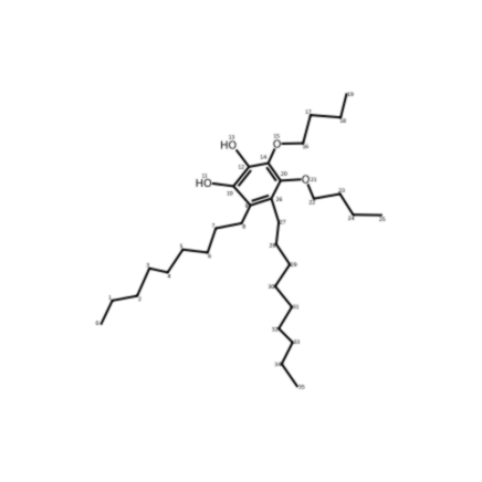 CCCCCCCCCc1c(O)c(O)c(OCCCC)c(OCCCC)c1CCCCCCCCC